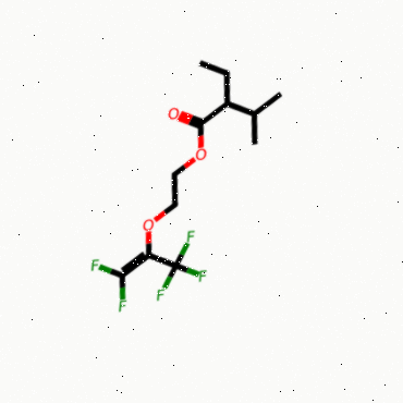 CCC(C(=O)OCCOC(=C(F)F)C(F)(F)F)C(C)C